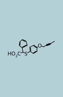 CC#CCOc1ccc(SC(C(=O)O)c2ccccc2)cc1